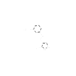 Cc1cccc(NCc2c[nH]nc2C(C)(C)C)c1